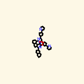 c1ccc(-c2ccc(-c3cc(-c4ccc(-c5ccccn5)cc4)nc(-c4cccc5ccc6c(-c7ccc8ccccc8c7)nc7ccccc7c6c45)n3)cc2)nc1